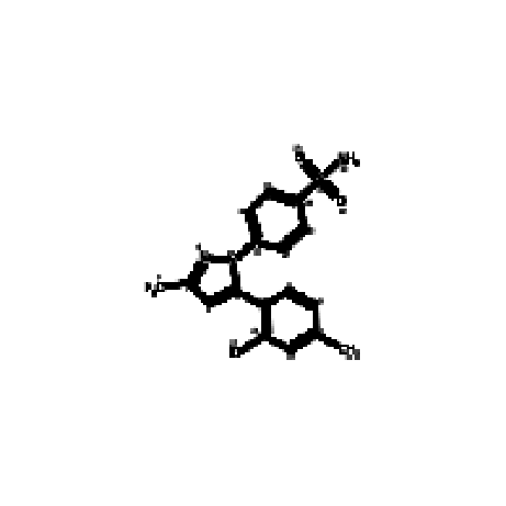 Cc1ccc(-c2cc(C(F)(F)F)nn2-c2ccc(S(N)(=O)=O)cc2)c(Cl)c1